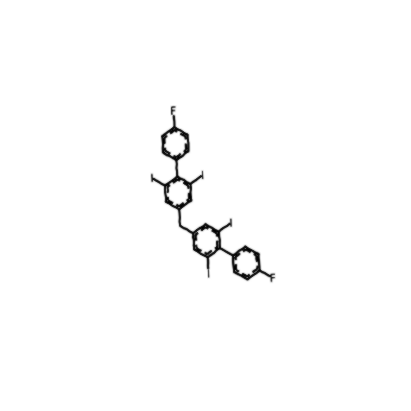 Fc1ccc(-c2c(I)cc(Cc3cc(I)c(-c4ccc(F)cc4)c(I)c3)cc2I)cc1